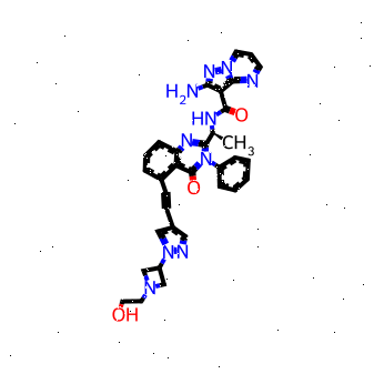 C[C@H](NC(=O)c1c(N)nn2cccnc12)c1nc2cccc(C#Cc3cnn(C4CN(CCO)C4)c3)c2c(=O)n1-c1ccccc1